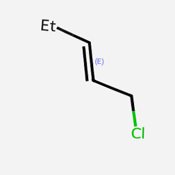 [CH2]C/C=C/CCl